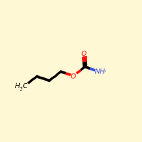 CCCCOC([NH])=O